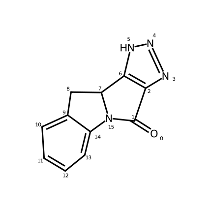 O=C1c2nn[nH]c2C2Cc3ccccc3N12